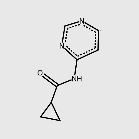 O=C(Nc1c[c]ncn1)C1CC1